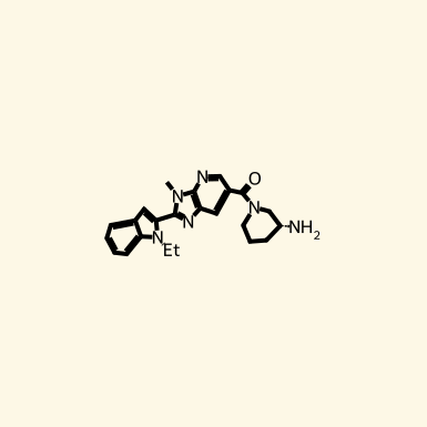 CCn1c(-c2nc3cc(C(=O)N4CCC[C@@H](N)C4)cnc3n2C)cc2ccccc21